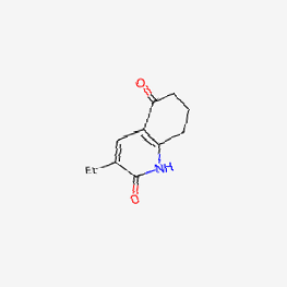 CCc1cc2c([nH]c1=O)CCCC2=O